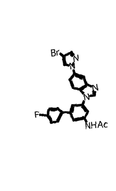 CC(=O)Nc1cc(-c2ccc(F)cc2)cc(-n2cnc3cc(-n4cc(Br)cn4)ccc32)c1